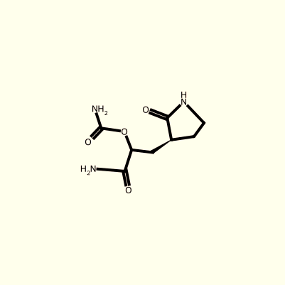 NC(=O)OC(C[C@@H]1CCNC1=O)C(N)=O